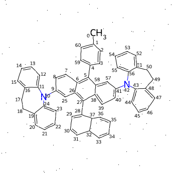 Cc1ccc(-c2c3ccc(N4c5ccccc5CCc5ccccc54)cc3c(C3=CC=CC4C=CC=CC34)c3ccc(N4c5ccccc5CCc5ccccc54)cc23)cc1